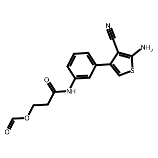 N#Cc1c(-c2cccc(NC(=O)CCOC=O)c2)csc1N